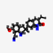 CCc1cc2ccc(C(C)(C#N)Cc3ccc(OC)c(C#N)c3)cc2[nH]c1=O